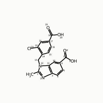 Cc1nc2ccc(C(=O)O)cc2n1Cc1ccc(C(=O)O)cc1Cl